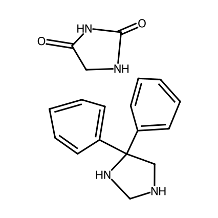 O=C1CNC(=O)N1.c1ccc(C2(c3ccccc3)CNCN2)cc1